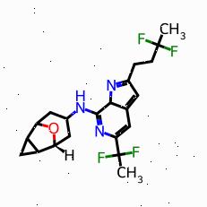 CC(F)(F)CCC1=NC2C(=C1)C=C(C(C)(F)F)N=C2NC1CC2O[C@H](C1)C1CC21